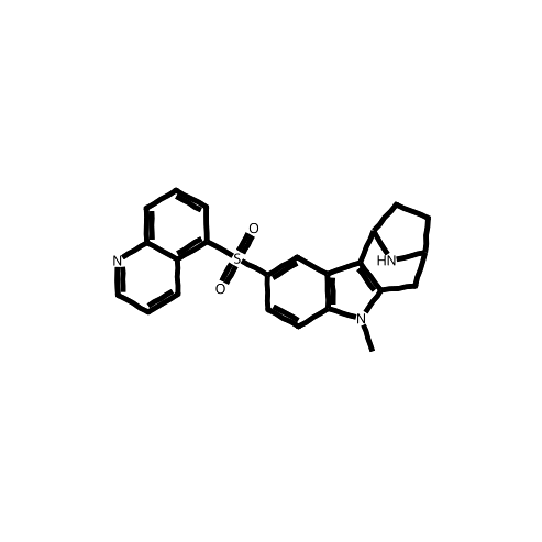 Cn1c2c(c3cc(S(=O)(=O)c4cccc5ncccc45)ccc31)C1CCC(C2)N1